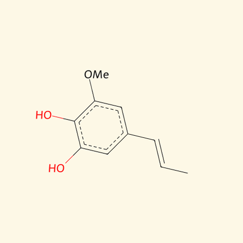 C/C=C/c1cc(O)c(O)c(OC)c1